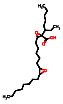 CCCCCCCCC1OC1CCCCCC1OC1(C(=O)O)C(CC)CCCCC